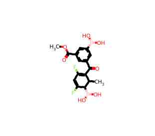 COC(=O)c1cc(B(O)O)cc(C(=O)C2=C(F)C=C(F)C(B(O)O)C2C)c1